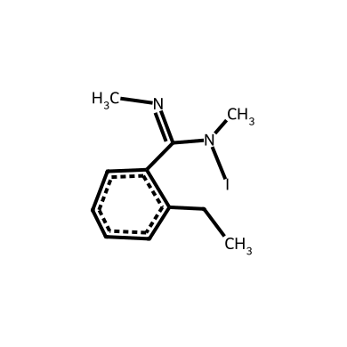 CCc1ccccc1/C(=N\C)N(C)I